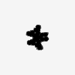 c1ccc(-c2cccc(N(c3cccc(-c4ccccc4)c3)c3cc4c5c(c3)N(c3cccc(-c6cccc7c6oc6ccccc67)c3)c3cc(-c6cccc7c6oc6ccccc67)ccc3B5c3ccc(-c5cccc6c5oc5ccccc56)cc3N4c3cccc(-c4cccc5c4oc4ccccc45)c3)c2)cc1